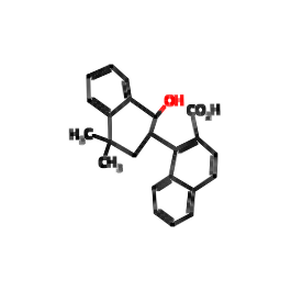 CC1(C)CC(c2c(C(=O)O)ccc3ccccc23)C(O)c2ccccc21